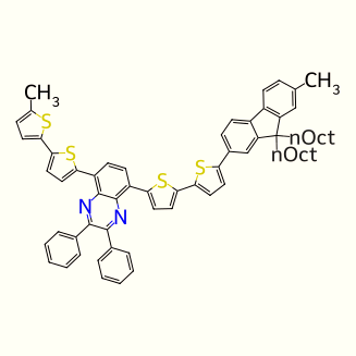 CCCCCCCCC1(CCCCCCCC)c2cc(C)ccc2-c2ccc(-c3ccc(-c4ccc(-c5ccc(-c6ccc(-c7ccc(C)s7)s6)c6nc(-c7ccccc7)c(-c7ccccc7)nc56)s4)s3)cc21